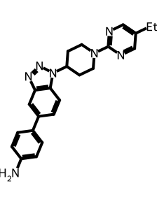 CCc1cnc(N2CCC(n3nnc4cc(-c5ccc(N)cc5)ccc43)CC2)nc1